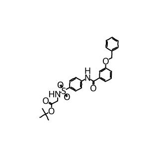 CC(C)(C)OC(=O)CNS(=O)(=O)c1ccc(NC(=O)c2cccc(OCc3ccccc3)c2)cc1